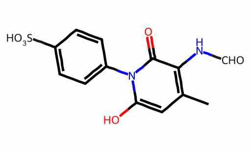 Cc1cc(O)n(-c2ccc(S(=O)(=O)O)cc2)c(=O)c1NC=O